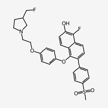 CS(=O)(=O)c1ccc(-c2ccc3c(F)c(O)ccc3c2Oc2ccc(OCCN3CCC(CF)C3)cc2)cc1